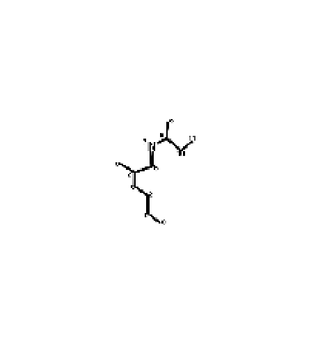 CCCCC(C)C=NC(C)CC